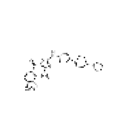 COc1ccc(C(=O)c2sc(NC3=CCC(N4CCC(N5CCCC5)CC4)C=C3)nc2N)cc1F